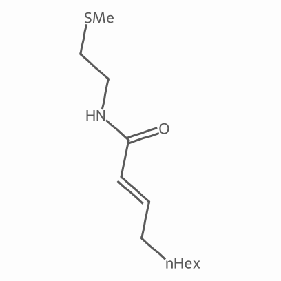 CCCCCCCC=CC(=O)NCCSC